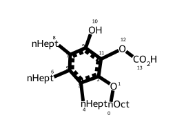 CCCCCCCCOc1c(CCCCCCC)c(CCCCCCC)c(CCCCCCC)c(O)c1OC(=O)O